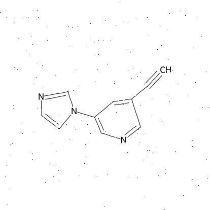 C#Cc1cncc(-n2ccnc2)c1